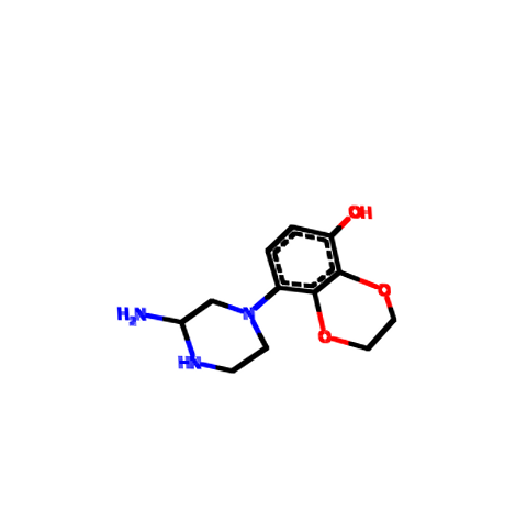 NC1CN(c2ccc(O)c3c2OCCO3)CCN1